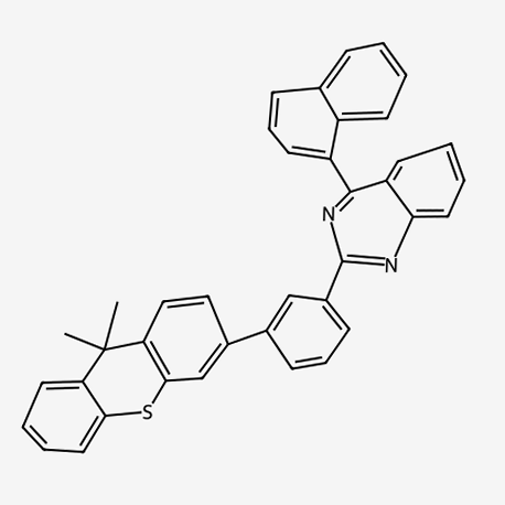 CC1(C)c2ccccc2Sc2cc(-c3cccc(-c4nc(-c5cccc6ccccc56)c5ccccc5n4)c3)ccc21